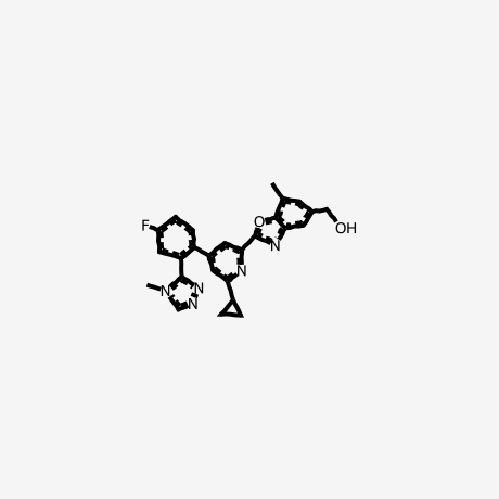 Cc1cc(CO)cc2nc(-c3cc(-c4ccc(F)cc4-c4nncn4C)cc(C4CC4)n3)oc12